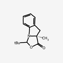 CC(C)(C)C1OC(=O)[C@]2(C)Cc3ccccc3N12